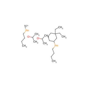 CC(C)[O-].CC(C)[O-].CCCCPC1CCCC(CC)(CC)C1.CCCC[PH][Ti+2]